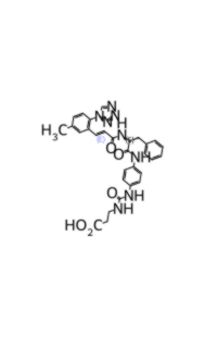 Cc1ccc(-n2cnnn2)c(/C=C/C(=O)N[C@@H](Cc2ccccc2)C(=O)Nc2ccc(NC(=O)NCCC(=O)O)cc2)c1